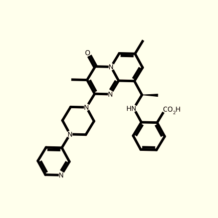 Cc1cc([C@@H](C)Nc2ccccc2C(=O)O)c2nc(N3CCN(c4cccnc4)CC3)c(C)c(=O)n2c1